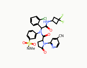 CNS(=O)(=O)c1cccc(N(C(=O)C2CCC(=O)N2c2cc(C#N)ccn2)C(C(=O)NC2CC(F)(F)C2)c2ccccc2Cl)c1